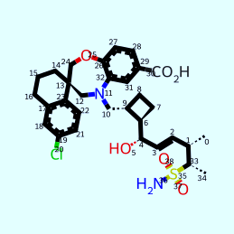 C[C@@H](/C=C/[C@H](O)[C@@H]1CC[C@H]1CN1C[C@@]2(CCCc3cc(Cl)ccc32)COc2ccc(C(=O)O)cc21)[C@H](C)S(N)(=O)=O